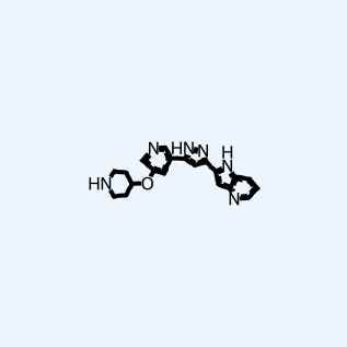 c1cnc2cc(-c3cc(-c4cncc(OC5CCNCC5)c4)[nH]n3)[nH]c2c1